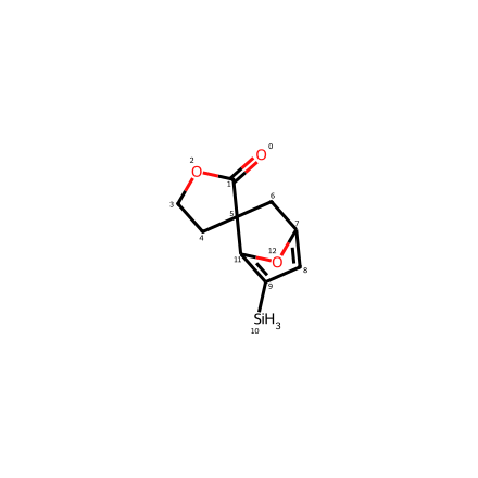 O=C1OCCC12Cc1cc([SiH3])c2o1